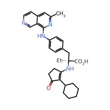 CC[C@@](Cc1ccc(Nc2nc(C)cc3ccncc23)cc1)(NC1=C(C2CCCCC2)C(=O)CC1)C(=O)O